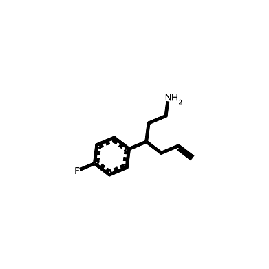 C=CCC(CCN)c1ccc(F)cc1